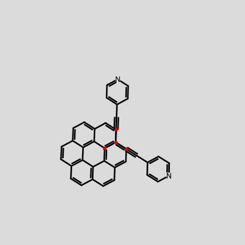 C(#Cc1ccc2ccc3ccc4ccc5ccc6ccc(C#Cc7ccncc7)cc6c5c4c3c2c1)c1ccncc1